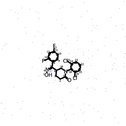 O=C1CCC(/C(=N\O)c2ccc(F)cc2F)CN1c1c(Cl)cccc1Cl